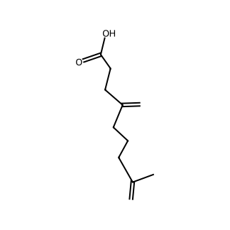 C=C(C)CCCC(=C)CCC(=O)O